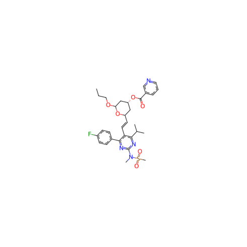 CCCOC1C[C@H](OC(=O)c2cccnc2)CC(/C=C/c2c(-c3ccc(F)cc3)nc(N(C)S(C)(=O)=O)nc2C(C)C)O1